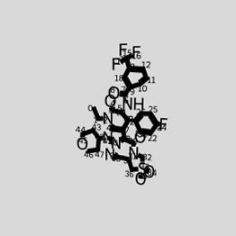 CCN1C(=O)[C@@H](NC(=O)c2cccc(C(F)(F)F)c2)[C@@H](c2ccc(F)cc2)c2c(C(=O)N3CS(=O)(=O)CC3C#N)nn(C3CCOCC3)c21